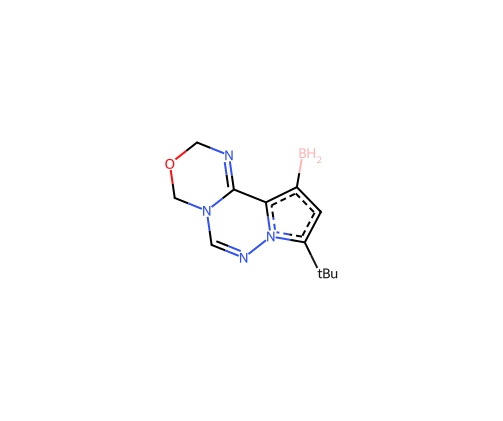 Bc1cc(C(C)(C)C)n2c1C1=NCOCN1C=N2